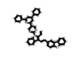 C=Cc1c(/C=C/c2ccc3oc4ccccc4c3c2)c2ccccc2n1-c1ncc(-c2cc(-c3ccccc3)cc(-c3ccccc3)n2)cn1